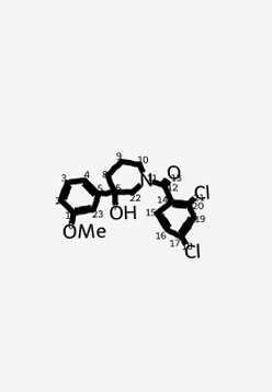 COc1cccc(C2(O)CCCN(C(=O)c3ccc(Cl)cc3Cl)C2)c1